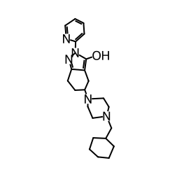 Oc1c2c(nn1-c1ccccn1)CCC(N1CCN(CC3CCCCC3)CC1)C2